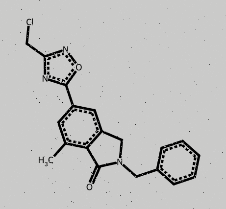 Cc1cc(-c2nc(CCl)no2)cc2c1C(=O)N(Cc1ccccc1)C2